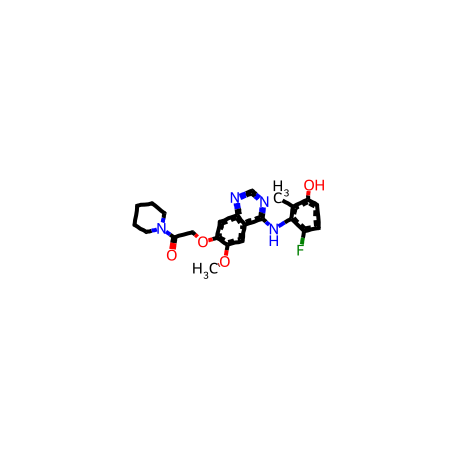 COc1cc2c(Nc3c(F)ccc(O)c3C)ncnc2cc1OCC(=O)N1CCCCC1